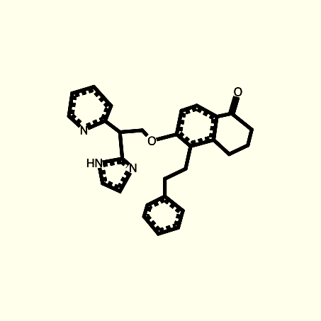 O=C1CCCc2c1ccc(OCC(c1ccccn1)c1ncc[nH]1)c2CCc1ccccc1